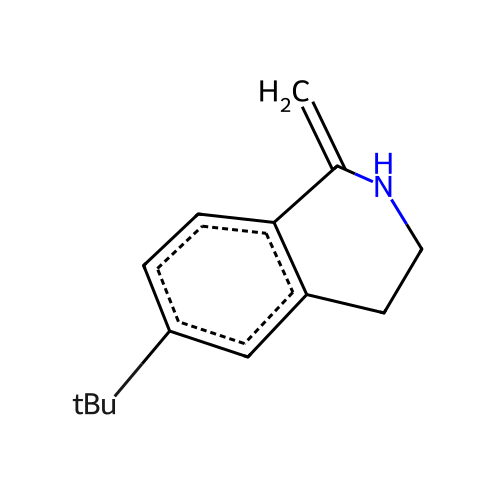 C=C1NCCc2cc(C(C)(C)C)ccc21